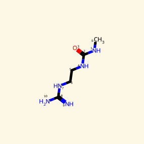 CNC(=O)NCCNC(=N)N